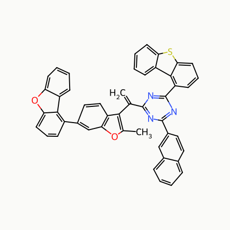 C=C(c1nc(-c2ccc3ccccc3c2)nc(-c2cccc3sc4ccccc4c23)n1)c1c(C)oc2cc(-c3cccc4oc5ccccc5c34)ccc12